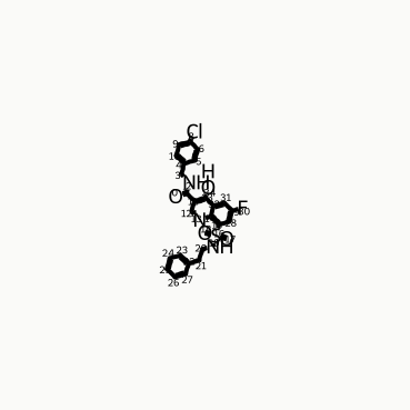 O=C(NCc1ccc(Cl)cc1)c1cnc2c(S(=O)(=O)NCCc3ccccc3)cc(F)cc2c1O